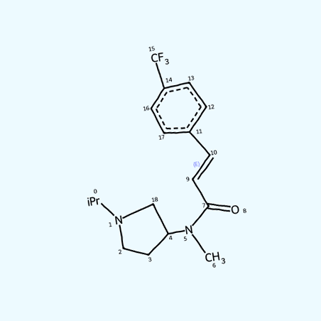 CC(C)N1CCC(N(C)C(=O)/C=C/c2ccc(C(F)(F)F)cc2)C1